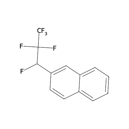 FC(c1ccc2ccccc2c1)C(F)(F)C(F)(F)F